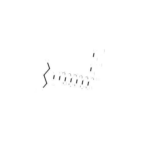 CC(=O)O.CC(=O)O.CC(=O)O.CC(=O)O.CC(=O)O.CC(=O)O.CC(=O)O.CC(=O)O.CC(=O)O.CCOC(=O)CCCO